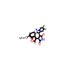 COc1cccc2c(C3=C(c4cn(C)c5cc(C)c(F)cc45)C(=O)NC3=O)coc12